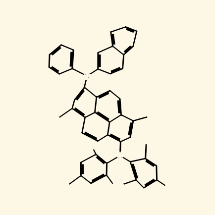 Cc1cc(C)c(B(c2c(C)cc(C)cc2C)c2cc(C)c3ccc4c(N(c5ccccc5)c5ccc6ccccc6c5)cc(C)c5ccc2c3c54)c(C)c1